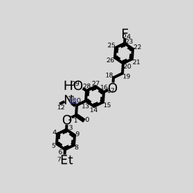 C=C(Oc1ccc(CC)cc1)/C(=N\C)c1ccc(OCCc2ccc(F)cc2)cc1O